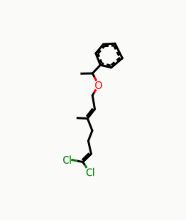 C/C(=C\COC(C)c1ccccc1)CCC=C(Cl)Cl